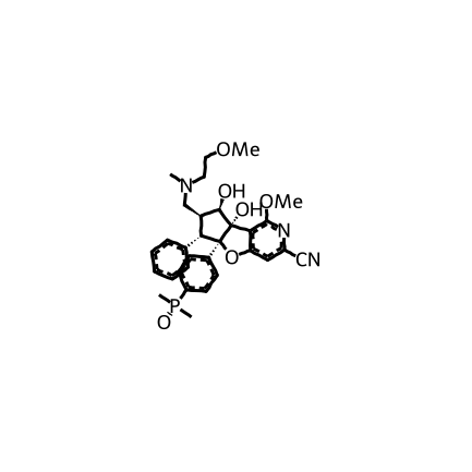 COCCN(C)C[C@H]1[C@@H](O)[C@@]2(O)c3c(cc(C#N)nc3OC)O[C@@]2(c2ccc(P(C)(C)=O)cc2)[C@@H]1c1ccccc1